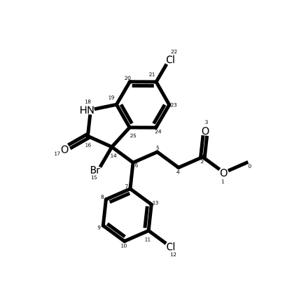 COC(=O)CCC(c1cccc(Cl)c1)C1(Br)C(=O)Nc2cc(Cl)ccc21